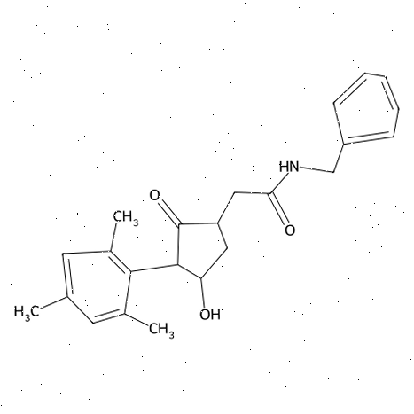 Cc1cc(C)c(C2C(=O)C(CC(=O)NCc3ccccc3)CC2O)c(C)c1